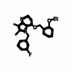 CCOc1ccccc1COc1ccnc2c(C)c(C)n(Cc3cccc(F)c3)c12